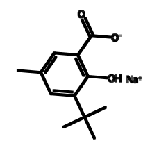 Cc1cc(C(=O)[O-])c(O)c(C(C)(C)C)c1.[Na+]